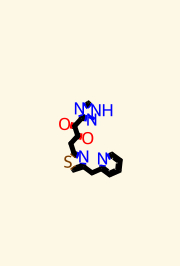 O=C(Cc1nc(Cc2ccccn2)cs1)C(=O)c1nc[nH]n1